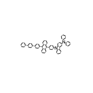 c1ccc(-c2ccc(-c3ccc(-c4c5ccccc5c(-c5ccc(-n6c7ccccc7c7cc(N(c8ccccc8)c8ccccc8)ccc76)cc5)c5ccccc45)cc3)cc2)cc1